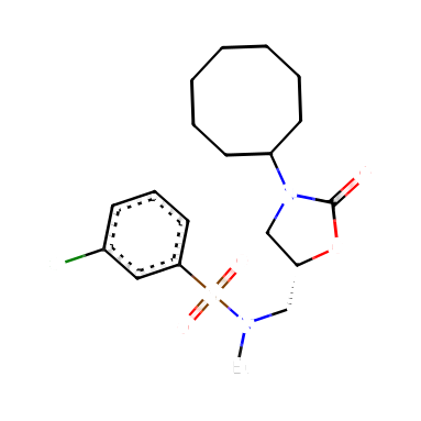 CCN(C[C@@H]1CN(C2CCCCCCC2)C(=O)O1)S(=O)(=O)c1cccc(Cl)c1